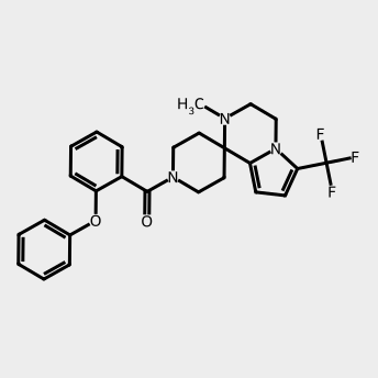 CN1CCn2c(C(F)(F)F)ccc2C12CCN(C(=O)c1ccccc1Oc1ccccc1)CC2